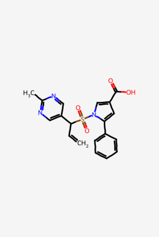 C=CC(c1cnc(C)nc1)S(=O)(=O)n1cc(C(=O)O)cc1-c1ccccc1